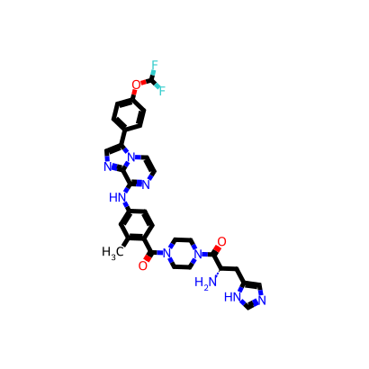 Cc1cc(Nc2nccn3c(-c4ccc(OC(F)F)cc4)cnc23)ccc1C(=O)N1CCN(C(=O)[C@@H](N)Cc2cnc[nH]2)CC1